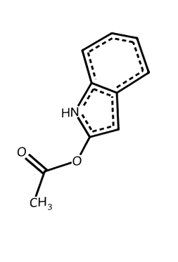 CC(=O)Oc1cc2ccccc2[nH]1